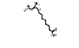 NC(=N[N+](=O)[O-])NCCCCCCCC(=O)O